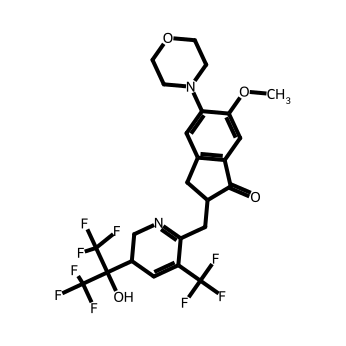 COc1cc2c(cc1N1CCOCC1)CC(CC1=NCC(C(O)(C(F)(F)F)C(F)(F)F)C=C1C(F)(F)F)C2=O